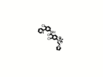 CS(=O)(=O)N(CCn1cccc1)c1ccc(C(=O)Nc2ccc(Cl)c(-c3ccccn3)c2)c(Cl)c1